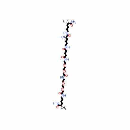 C[C@@H](CCCCNC(=O)COCCOCCNC(=O)COCCOCCNC(=O)CCCC(=O)NCCCC[C@H](N)C(=O)NCCCC[C@H](C)C(N)=O)C(N)=O